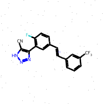 N#Cc1[nH]nnc1-c1cc(/C=C/c2cccc(C(F)(F)F)c2)ccc1F